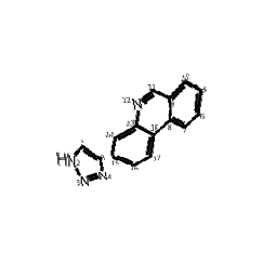 c1c[nH]nn1.c1ccc2c(c1)cnc1ccccc12